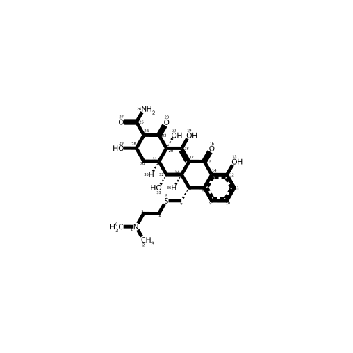 CN(C)CCSC[C@H]1c2cccc(O)c2C(=O)C2=C(O)[C@]3(O)C(=O)C(C(N)=O)C(O)C[C@@H]3[C@@H](O)[C@@H]21